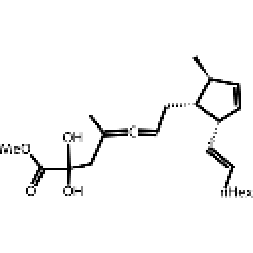 CCCCCCC=C[C@H]1C=C[C@H](C)[C@H]1CC=C=C(C)CC(O)(O)C(=O)OC